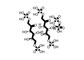 O=C(COP(=O)(O)O)[C@@H](O)[C@H](O)[C@H](O)COP(=O)(O)O.O=C(COP(=O)(O)O)[C@@H](O)[C@H](O)[C@H](O)COP(=O)(O)O.O=P(O)(O)OP(=O)(O)O